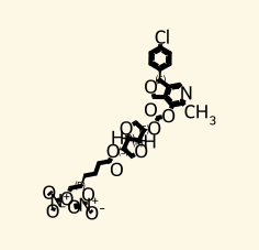 Cc1ncc2c(c1OC(=O)O[C@H]1CO[C@H]3[C@@H]1OC[C@@H]3OC(=O)CCC[C@H](CO[N+](=O)[O-])O[N+](=O)[O-])CO[C@H]2c1ccc(Cl)cc1